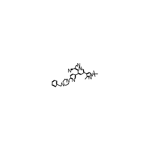 Cc1nn(C(C)(C)C)cc1-c1cc(-c2ccc(N3CCN(Cc4ccccc4)CC3)nc2)c2c(C#N)cnn2c1